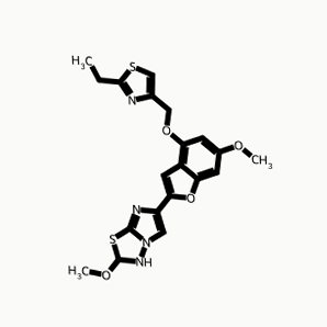 CCc1nc(COc2cc(OC)cc3oc(-c4cn5c(n4)SC(OC)N5)cc23)cs1